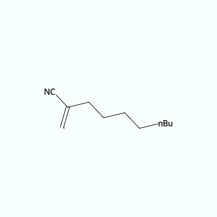 [CH]=C(C#N)CCCCCCCC